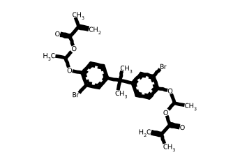 C=C(C)C(=O)OC(C)Oc1ccc(C(C)(C)c2ccc(OC(C)OC(=O)C(=C)C)c(Br)c2)cc1Br